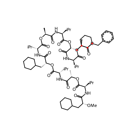 CO[C@H](CC1CCCCC1)C(=O)N[C@@H](C(=O)O[C@@H](C)C(=O)N[C@H](C(=O)O[C@H](CC1CCCCC1)C(=O)N[C@@H](C(=O)O[C@@H](C)C(=O)N[C@H](C(=O)O[C@H](CC1CCCCC1)C(=O)N[C@@H](C(=O)O[C@@H](C)C(=O)OCc1ccccc1)C(C)C)C(C)C)C(C)C)C(C)C)C(C)C